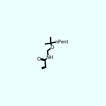 C=CC(=O)NCOC(C)(C)CCCCC